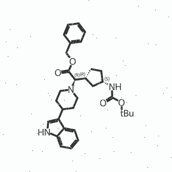 CC(C)(C)OC(=O)N[C@H]1CC[C@@H]([C@H](C(=O)OCc2ccccc2)N2CCC(c3c[nH]c4ccccc34)CC2)C1